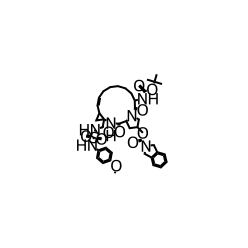 COc1ccc(NS(=O)(=O)NC(=O)C23CC2C=CCCCCCC(NC(=O)OC(C)(C)C)C(=O)N2CC(OC(=O)N4Cc5ccccc5C4)CC2C(=O)N3)cc1